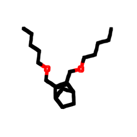 CCCCCOCC1=C(COCCCCC)C2CCC1C2